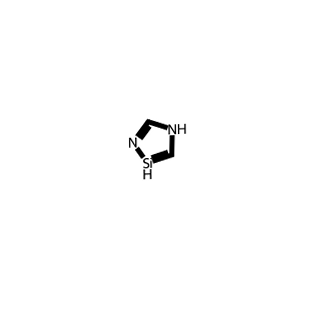 c1n[siH]c[nH]1